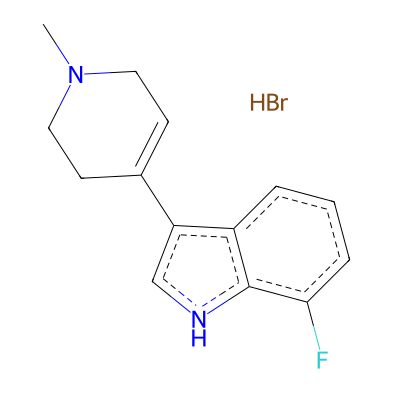 Br.CN1CC=C(c2c[nH]c3c(F)cccc23)CC1